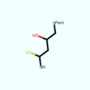 CCCCCCC(O)CC(S)CCC